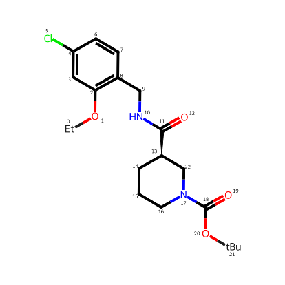 CCOc1cc(Cl)ccc1CNC(=O)[C@@H]1CCCN(C(=O)OC(C)(C)C)C1